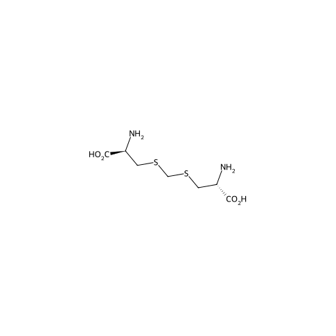 N[C@@H](CSCSC[C@H](N)C(=O)O)C(=O)O